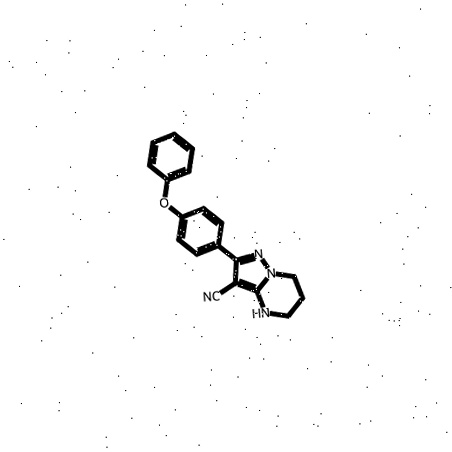 N#Cc1c(-c2ccc(Oc3ccccc3)cc2)nn2c1NCCC2